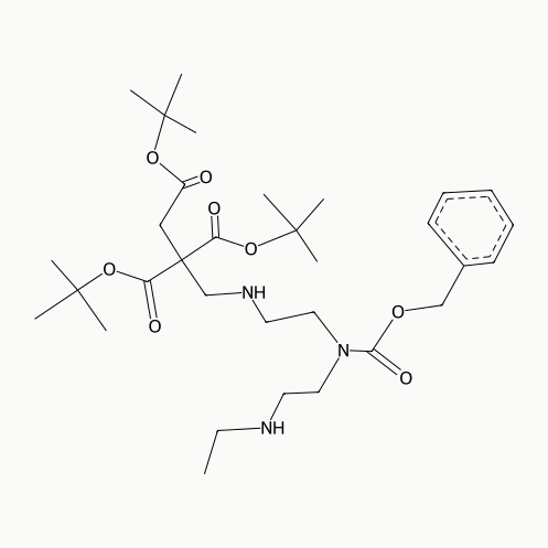 CCNCCN(CCNCC(CC(=O)OC(C)(C)C)(C(=O)OC(C)(C)C)C(=O)OC(C)(C)C)C(=O)OCc1ccccc1